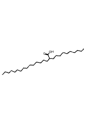 CCCCCCCCCCCCCCCC(CCCCCCCCCC)C(=O)O